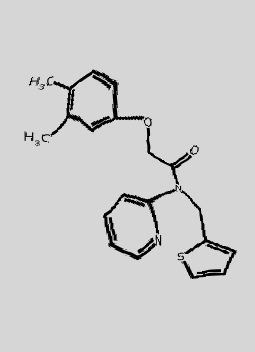 Cc1ccc(OCC(=O)N(Cc2cccs2)c2ccccn2)cc1C